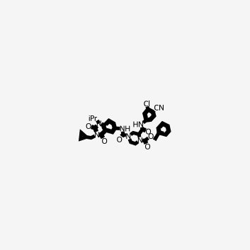 CC(C)n1c(=O)n(CC2CC2)c(=O)c2cc(NC(=O)N3CCN(C(=O)OCc4ccccc4)C(C(=O)Nc4ccc(C#N)c(Cl)c4)C3)ccc21